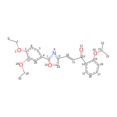 CCOc1ccc(-c2nc(C=CC(=O)c3ccccc3OC(C)C)co2)cc1OCC